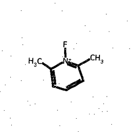 Cc1cccc(C)[n+]1F